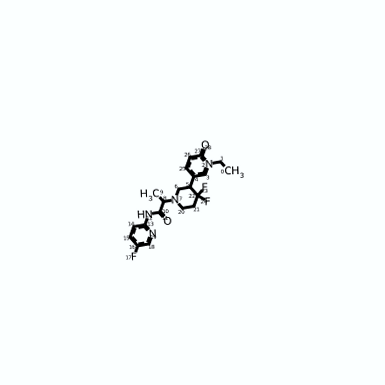 CCn1cc(C2CN(C(C)C(=O)Nc3ccc(F)cn3)CCC2(F)F)ccc1=O